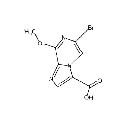 COc1nc(Br)cn2c(C(=O)O)cnc12